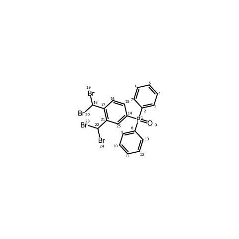 O=P(c1ccccc1)(c1ccccc1)c1ccc(C(Br)Br)c(C(Br)Br)c1